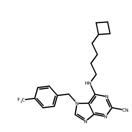 N#Cc1nc(NCCCCC2CCC2)c2c(ncn2Cc2ccc(C(F)(F)F)cc2)n1